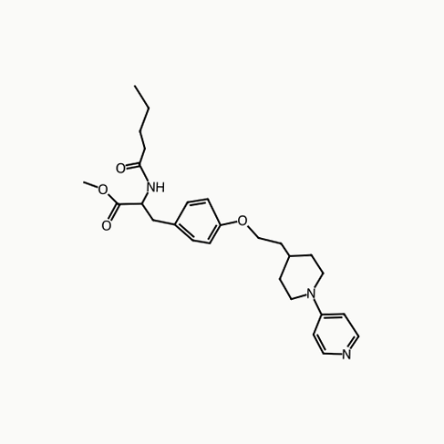 CCCCC(=O)NC(Cc1ccc(OCCC2CCN(c3ccncc3)CC2)cc1)C(=O)OC